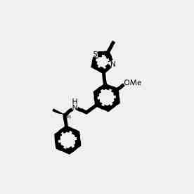 COc1ccc(CN[C@H](C)c2ccccc2)cc1-c1csc(C)n1